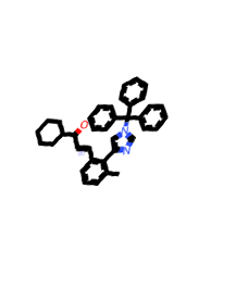 Cc1cccc(/C=C/C(=O)C2CCCCC2)c1-c1cn(C(c2ccccc2)(c2ccccc2)c2ccccc2)cn1